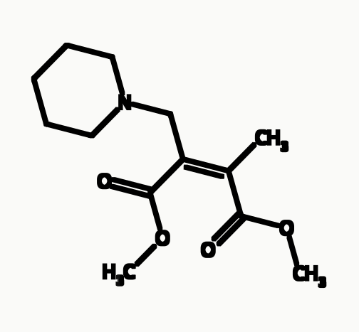 COC(=O)/C(C)=C(/CN1CCCCC1)C(=O)OC